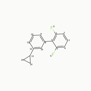 Fc1cccc(F)c1-c1cc[c]c(C2CC2)c1